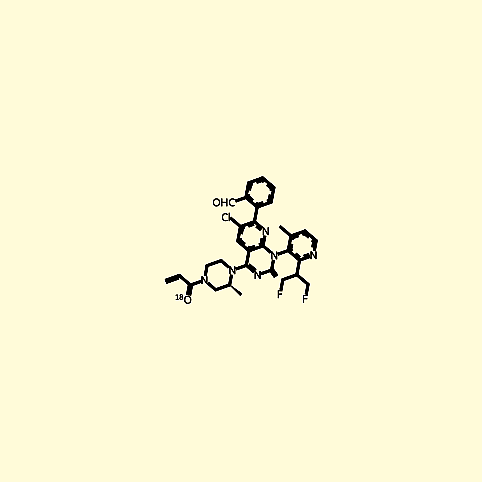 C=CC(=[18O])N1CCN(C2=NC(=C)N(c3c(C)ccnc3C(CF)CF)c3nc(-c4ccccc4C=O)c(Cl)cc32)[C@@H](C)C1